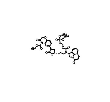 CC(C)(C)OC(=O)N1C(=O)COc2ccc(N3C[C@H](CCCN(C(=O)OCOP(=O)(OC(C)(C)C)OC(C)(C)C)[C@@H]4Cn5c(=O)ccc6cccc4c65)OC3=O)nc21